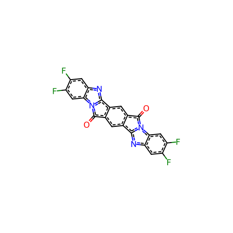 O=c1c2cc3c(cc2c2nc4cc(F)c(F)cc4n12)c(=O)n1c2cc(F)c(F)cc2nc31